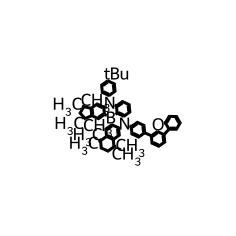 CC(C)(C)c1ccc(N2c3cc4c(cc3B3c5cc6c(cc5N(c5ccc(-c7cccc8c7oc7ccccc78)cc5)c5cccc2c53)C(C)(C)CCC6(C)C)C(C)(C)CC4(C)C)cc1